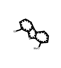 CCc1cccc2c1sc1c(OC)cccc12